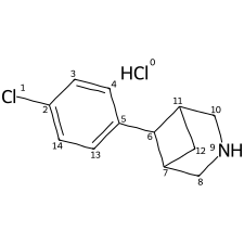 Cl.Clc1ccc(C2C3CNCC2C3)cc1